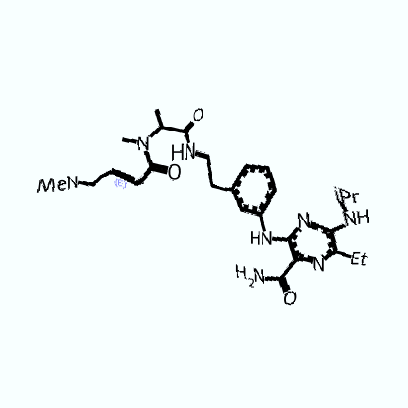 CCc1nc(C(N)=O)c(Nc2cccc(CCNC(=O)C(C)N(C)C(=O)/C=C/CNC)c2)nc1NC(C)C